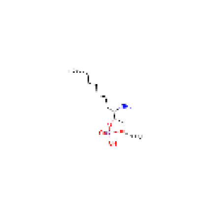 CCCCCCCCCCCCCCCCC(N)C(CCC(=O)O)OP(=O)(O)O